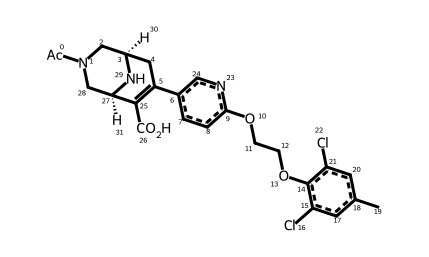 CC(=O)N1C[C@H]2CC(c3ccc(OCCOc4c(Cl)cc(C)cc4Cl)nc3)=C(C(=O)O)[C@@H](C1)N2